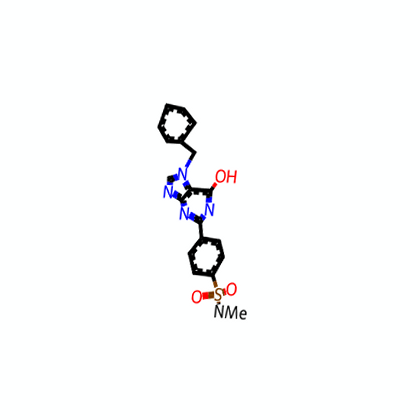 CNS(=O)(=O)c1ccc(-c2nc(O)c3c(ncn3Cc3ccccc3)n2)cc1